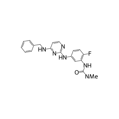 CNC(=O)Nc1cc(Nc2nccc(NCc3ccccc3)n2)ccc1F